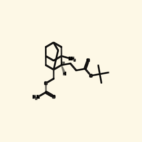 CC(C)(C)OC(=O)CC[C@@H]1C2(N)CC3CC(C2)CC1(COC(N)=O)C3